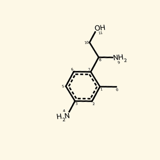 Cc1cc(N)ccc1C(N)CO